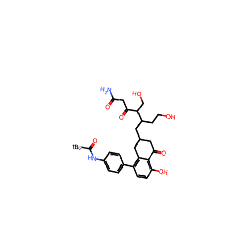 CC(C)(C)C(=O)Nc1ccc(-c2ccc(O)c3c2CC(CC(CCO)C(CO)C(=O)CC(N)=O)CC3=O)cc1